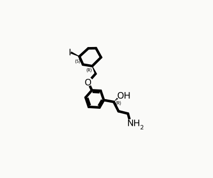 NCC[C@@H](O)c1cccc(OC[C@@H]2CCC[C@H](I)C2)c1